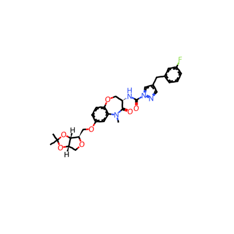 CN1C(=O)[C@@H](NC(=O)n2cc(Cc3cccc(F)c3)cn2)COc2ccc(OC[C@H]3OC[C@@H]4OC(C)(C)O[C@@H]43)cc21